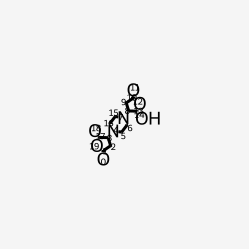 O=C1CC(N2CCN(C3CC(=O)OC3O)CC2)C(=O)O1